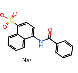 O=C(Nc1ccc(S(=O)(=O)[O-])c2ccccc12)c1ccccc1.[Na+]